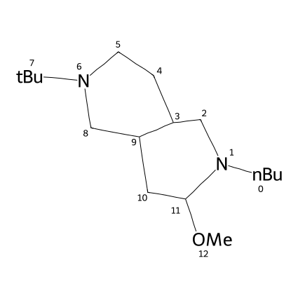 CCCCN1CC2CCN(C(C)(C)C)CC2CC1OC